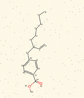 C=CC(CCCCCC)Cc1ccc(C(=O)OC)cc1